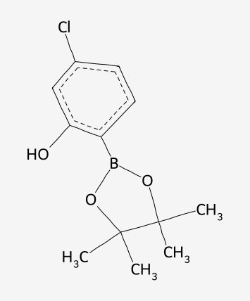 CC1(C)OB(c2ccc(Cl)cc2O)OC1(C)C